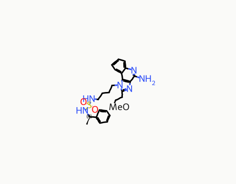 COCCc1nc2c(N)nc3ccccc3c2n1CCCCNS(=O)(=O)N[C@H](C)c1ccccc1